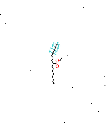 C=CCCCCCCC(CCCC(F)(F)C(F)(F)C(F)(F)C(F)(F)F)C(=O)OCC